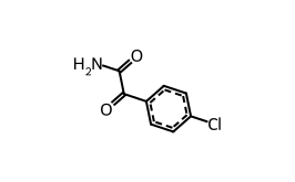 NC(=O)C(=O)c1ccc(Cl)cc1